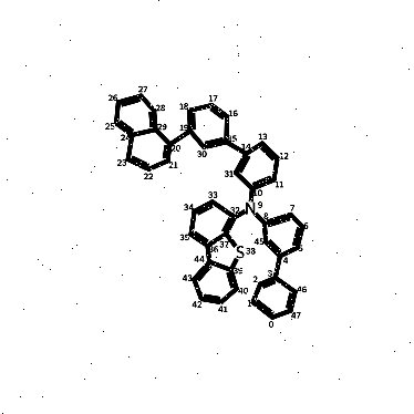 c1ccc(-c2cccc(N(c3cccc(-c4cccc(-c5cccc6ccccc56)c4)c3)c3cccc4c3sc3ccccc34)c2)cc1